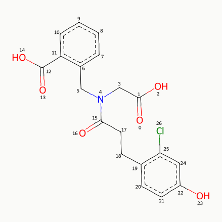 O=C(O)CN(Cc1ccccc1C(=O)O)C(=O)CCc1ccc(O)cc1Cl